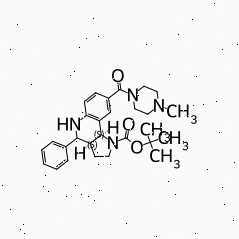 CN1CCN(C(=O)c2ccc3c(c2)[C@@H]2[C@@H](CCN2C(=O)OC(C)(C)C)C(c2ccccc2)N3)CC1